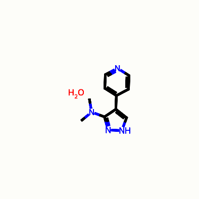 CN(C)c1n[nH]cc1-c1ccncc1.O